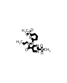 C=CCn1c(=O)c2cnc(S(C)(=O)=O)nc2n1-c1cccc(S(C)(=O)=O)n1